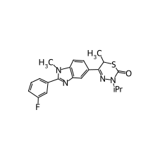 CC1SC(=O)N(C(C)C)N=C1c1ccc2c(c1)nc(-c1cccc(F)c1)n2C